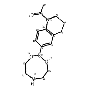 CC(=O)N1CCCc2cc(B3OCCNCCO3)ccc21